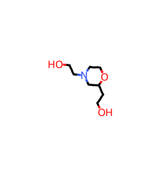 OCCC1CN(CCO)CCO1